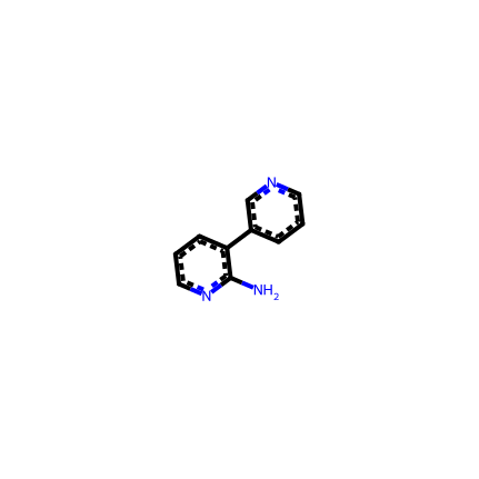 Nc1ncccc1-c1cccnc1